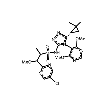 COc1ncnc(OC)c1-n1c(NS(=O)(=O)C(C)C(OC)c2ncc(Cl)cn2)nnc1[C@H]1CC1(C)C